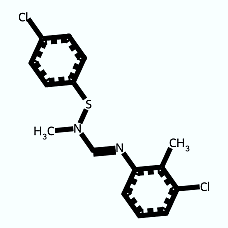 Cc1c(Cl)cccc1N=CN(C)Sc1ccc(Cl)cc1